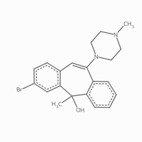 CN1CCN(C2=Cc3ccc(Br)cc3C(C)(O)c3ccccc32)CC1